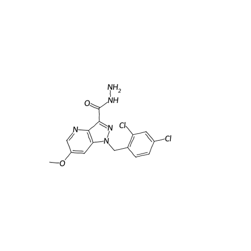 COc1cnc2c(C(=O)NN)nn(Cc3ccc(Cl)cc3Cl)c2c1